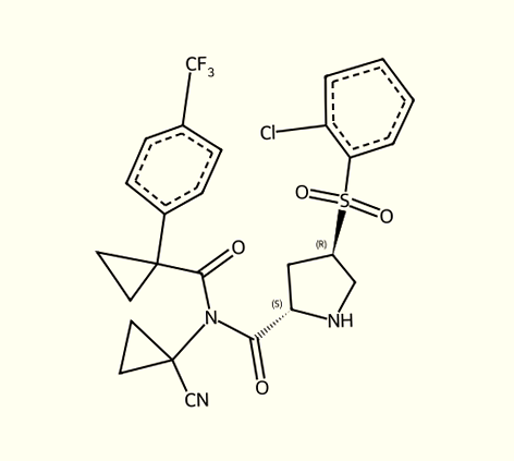 N#CC1(N(C(=O)[C@@H]2C[C@@H](S(=O)(=O)c3ccccc3Cl)CN2)C(=O)C2(c3ccc(C(F)(F)F)cc3)CC2)CC1